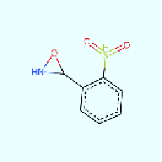 O=[SH](=O)c1ccccc1C1NO1